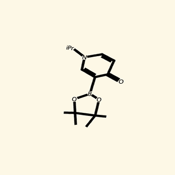 CC(C)n1ccc(=O)c(B2OC(C)(C)C(C)(C)O2)c1